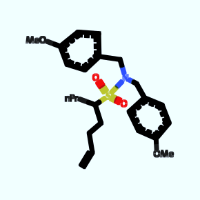 C=CCCC(CCC)S(=O)(=O)N(Cc1ccc(OC)cc1)Cc1ccc(OC)cc1